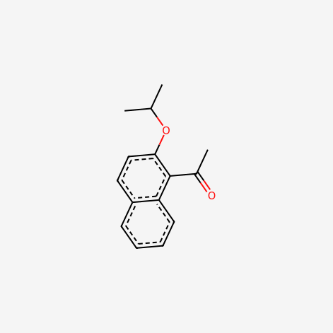 CC(=O)c1c(OC(C)C)ccc2ccccc12